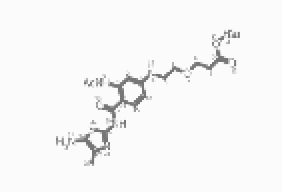 CC(=O)Nc1cc(NCCOCCC(=O)OC(C)(C)C)ccc1C(=O)Nc1nc(C)c(N)s1